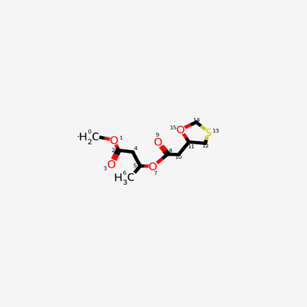 [CH2]OC(=O)CC(C)OC(=O)CC1CSCO1